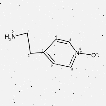 NCCc1cc[n+]([O-])cc1